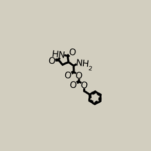 NC(C(=O)OC(=O)OCc1ccccc1)C1CC(=O)NC1=O